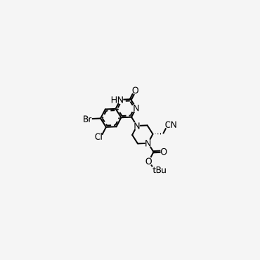 CC(C)(C)OC(=O)N1CCN(c2nc(=O)[nH]c3cc(Br)c(Cl)cc23)C[C@@H]1CC#N